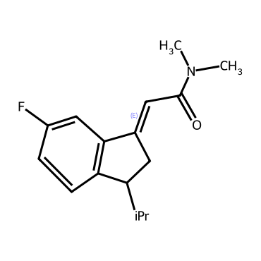 CC(C)C1C/C(=C\C(=O)N(C)C)c2cc(F)ccc21